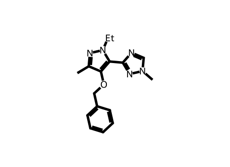 CCn1nc(C)c(OCc2ccccc2)c1-c1ncn(C)n1